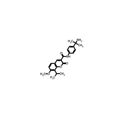 COc1ccc2cc(C(=O)Nc3ccc(C(C)(C)N)cc3)c(=O)oc2c1C(C)C